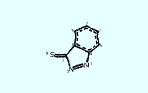 S=C1N=Nc2ccccc21